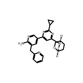 Nc1ncc(-c2cc(N3C[C@@H]4CC[C@H]3CO4)nc(C3CC3)n2)cc1Cc1ccccn1